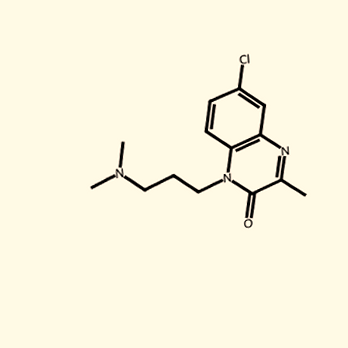 Cc1nc2cc(Cl)ccc2n(CCCN(C)C)c1=O